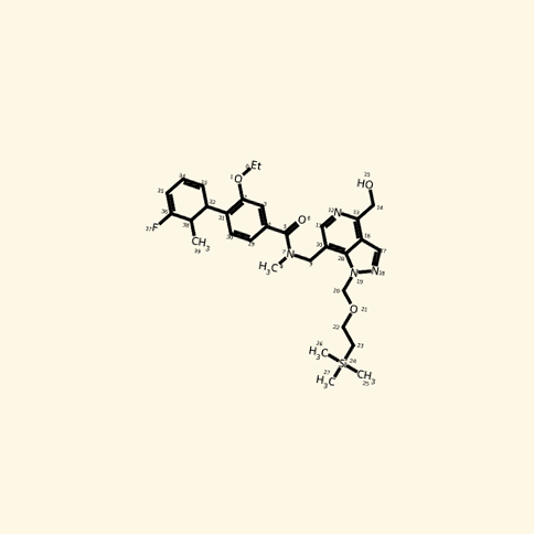 CCOc1cc(C(=O)N(C)Cc2cnc(CO)c3cnn(COCC[Si](C)(C)C)c23)ccc1C1C=CC=C(F)C1C